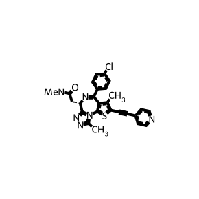 CNC(=O)C[C@@H]1N=C(c2ccc(Cl)cc2)c2c(sc(C#Cc3ccncc3)c2C)-n2c(C)nnc21